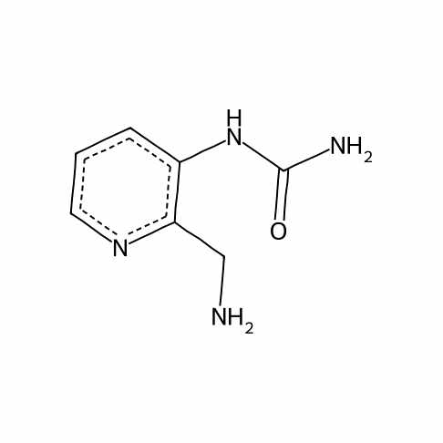 NCc1ncccc1NC(N)=O